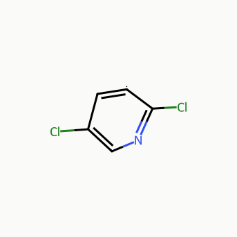 Clc1c[c]c(Cl)nc1